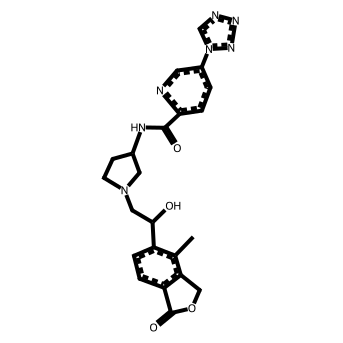 Cc1c(C(O)CN2CCC(NC(=O)c3ccc(-n4cnnn4)cn3)C2)ccc2c1COC2=O